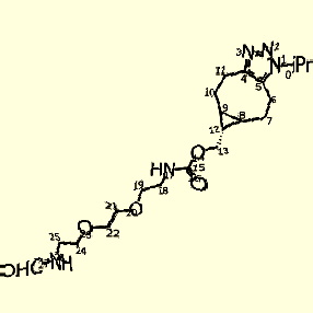 CC(C)n1nnc2c1CCC1C(CC2)[C@H]1COC(=O)NCCOCCOCCNC=O